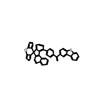 C=C(c1ccc(-c2cccc3c2-c2c(ccc4ccccc24)C32c3ccccc3Oc3ccccc32)cc1)c1ccc2sc3ccccc3c2c1